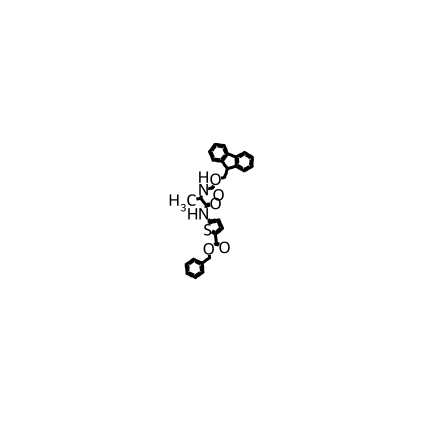 CC(NC(=O)OCC1c2ccccc2-c2ccccc21)C(=O)Nc1ccc(C(=O)OCc2ccccc2)s1